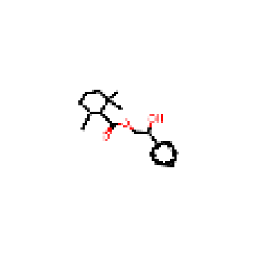 CC1CCCC(C)(C)C1C(=O)OCC(O)c1ccccc1